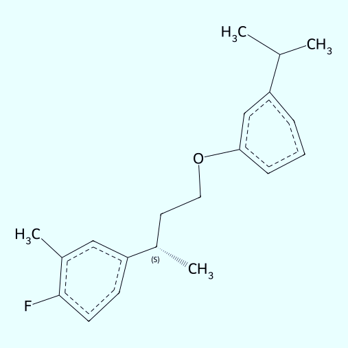 Cc1cc([C@@H](C)CCOc2cccc(C(C)C)c2)ccc1F